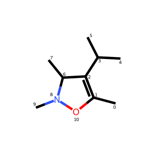 CC1=C(C(C)C)C(C)N(C)O1